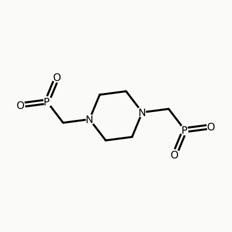 O=P(=O)CN1CCN(CP(=O)=O)CC1